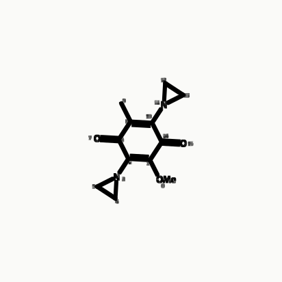 COC1=C(N2CC2)C(=O)C(C)=C(N2CC2)C1=O